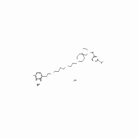 CC(C)c1nc(C(=O)N2CCOC3(CCN(CCCSCCCCNC[C@H](O)c4ccc(O)c5[nH]c(=O)sc45)CC3)C2)cs1.O=CO